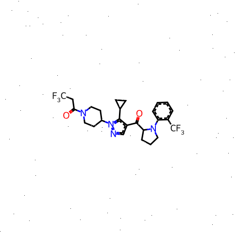 O=C(c1cnn(C2CCN(C(=O)CC(F)(F)F)CC2)c1C1CC1)C1CCCN1c1ccccc1C(F)(F)F